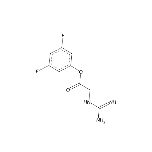 N=C(N)NCC(=O)Oc1cc(F)cc(F)c1